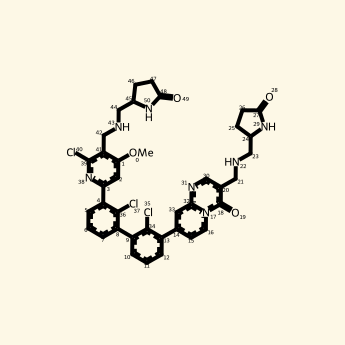 COc1cc(-c2cccc(-c3cccc(-c4ccn5c(=O)c(CNCC6CCC(=O)N6)cnc5c4)c3Cl)c2Cl)nc(Cl)c1CNCC1CCC(=O)N1